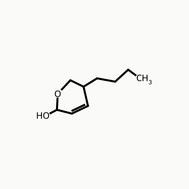 CCCCC1C=CC(O)OC1